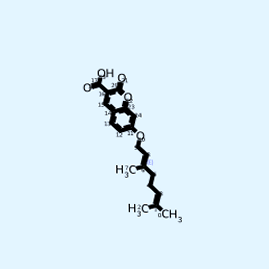 CC(C)=CCC/C(C)=C/COc1ccc2cc(C(=O)O)c(=O)oc2c1